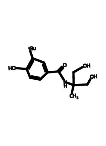 CC(CO)(CO)NC(=O)c1ccc(O)c(C(C)(C)C)c1